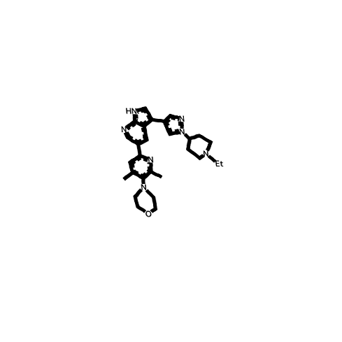 CCN1CCC(n2cc(-c3c[nH]c4ncc(-c5cc(C)c(N6CCOCC6)c(C)n5)cc34)cn2)CC1